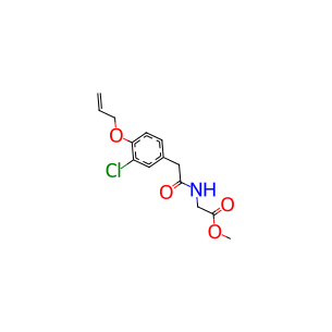 C=CCOc1ccc(CC(=O)NCC(=O)OC)cc1Cl